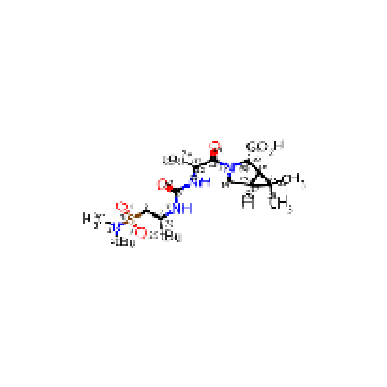 CN(C(C)(C)C)S(=O)(=O)C[C@@H](NC(=O)N[C@H](C(=O)N1C[C@H]2C([C@H]1C(=O)O)C2(C)C)C(C)(C)C)C(C)(C)C